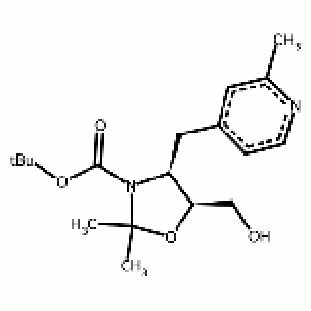 Cc1cc(C[C@H]2[C@@H](CO)OC(C)(C)N2C(=O)OC(C)(C)C)ccn1